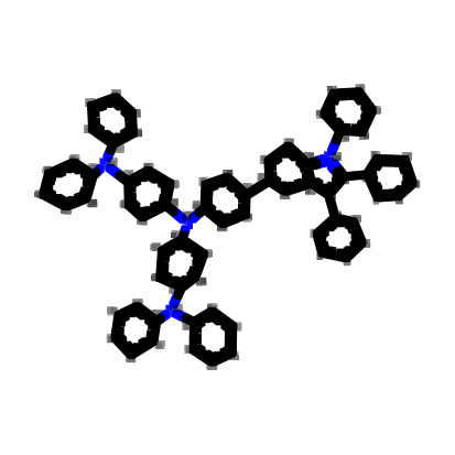 c1ccc(-c2c(-c3ccccc3)n(-c3ccccc3)c3ccc(-c4ccc(N(c5ccc(N(c6ccccc6)c6ccccc6)cc5)c5ccc(N(c6ccccc6)c6ccccc6)cc5)cc4)cc23)cc1